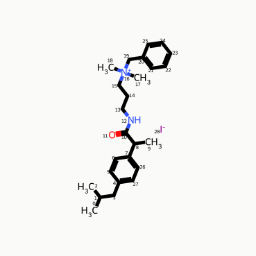 CC(C)Cc1ccc(C(C)C(=O)NCCC[N+](C)(C)Cc2ccccc2)cc1.[I-]